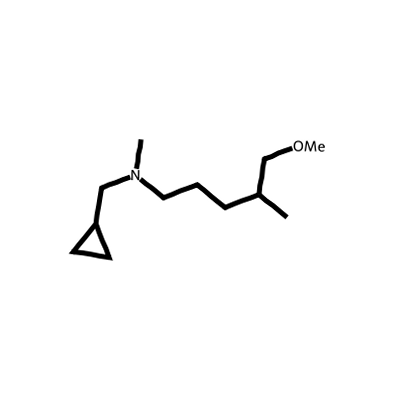 COCC(C)CCCN(C)CC1CC1